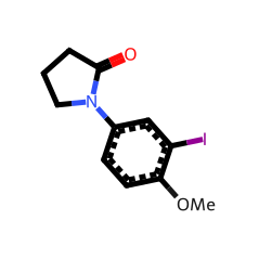 COc1ccc(N2CCCC2=O)cc1I